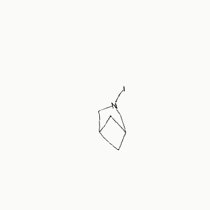 IN1CC2CC1C2